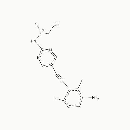 C[C@H](CO)Nc1ncc(C#Cc2c(F)ccc(N)c2F)cn1